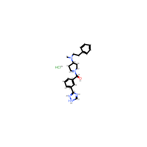 CN(CCc1ccccc1)C1CCN(C(=O)c2cccc(-c3nc[nH]n3)c2)CC1.Cl